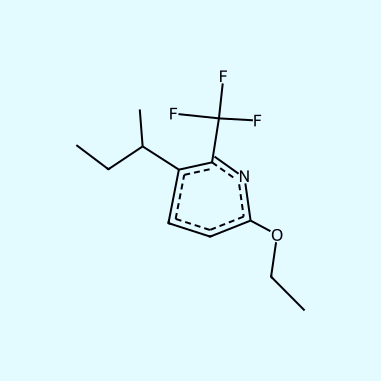 CCOc1ccc(C(C)CC)c(C(F)(F)F)n1